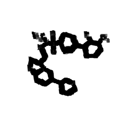 CN(N=Cc1cnc2ccc(-c3cccnc3)cn12)S(=O)(=O)c1ccc(-c2cccc(C(F)(F)F)c2F)cc1